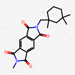 Cn1c(=O)c2cc3c(=O)n(CC4(C)CCCC(C)(C)C4)c(=O)c3cc2c1=O